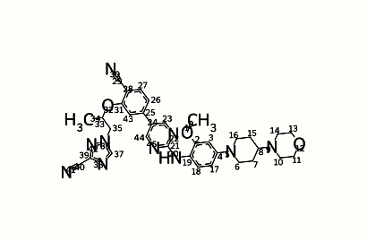 COc1cc(N2CCC(N3CCOCC3)CC2)ccc1Nc1ncc(-c2ccc(C#N)c(OC(C)Cn3cnc(C#N)n3)c2)cn1